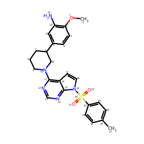 COc1ccc(C2CCCN(c3ncnc4c3ccn4S(=O)(=O)c3ccc(C)cc3)C2)cc1N